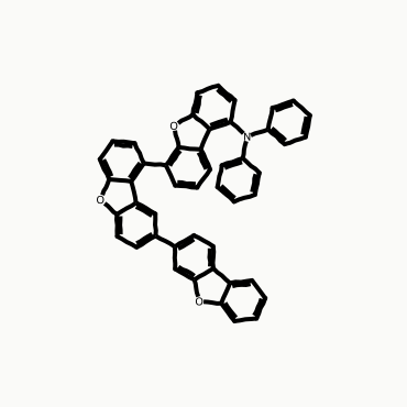 c1ccc(N(c2ccccc2)c2cccc3oc4c(-c5cccc6oc7ccc(-c8ccc9c(c8)oc8ccccc89)cc7c56)cccc4c23)cc1